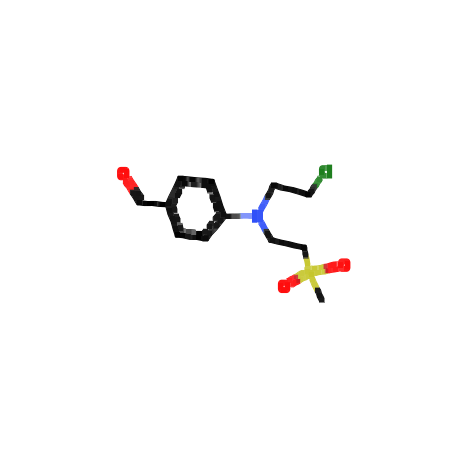 CS(=O)(=O)CCN(CCCl)c1ccc(C=O)cc1